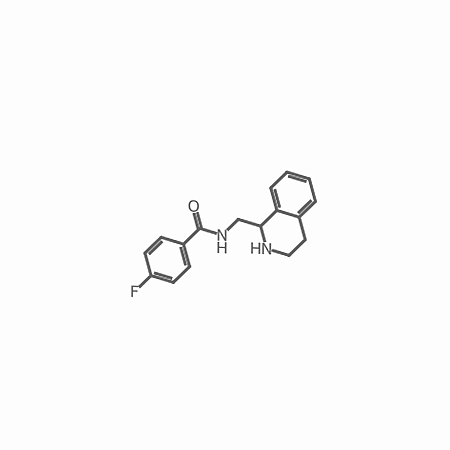 O=C(NCC1NCCc2ccccc21)c1ccc(F)cc1